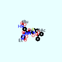 CCN1CCN(C(=O)N[C@@H](C(=O)N[C@@H]2C(=O)N3C(C(=O)OC(c4ccccc4)c4ccccc4)=C(COC(C)=O)CS[C@H]23)c2ccc(NC(=O)OC(C)(C)C)cc2)C(=O)C1=O